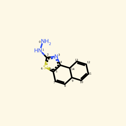 NNc1nc2c(s1)C=CC1C=CC=CC21